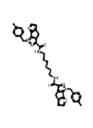 Cc1ccc(Cn2nc(C(=O)NCCCCCCNC(=O)c3nn(Cc4ccc(C)cc4)c4c3Cc3ccsc3-4)c3c2-c2sccc2C3)cc1